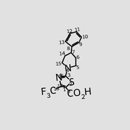 O=C(O)c1sc(N2CCC(c3ccccc3)CC2)nc1C(F)(F)F